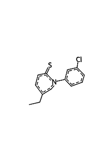 CCc1ccc(=S)n(-c2cccc(Cl)c2)c1